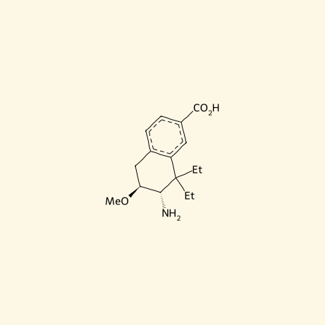 CCC1(CC)c2cc(C(=O)O)ccc2C[C@H](OC)[C@H]1N